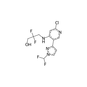 OCC(F)(F)CNc1cc(Cl)ncc1-c1ccn(C(F)F)n1